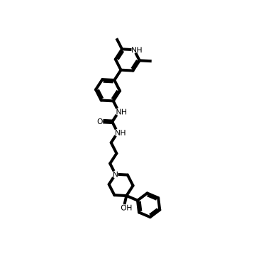 CC1=CC(c2cccc(NC(=O)NCCCN3CCC(O)(c4ccccc4)CC3)c2)C=C(C)N1